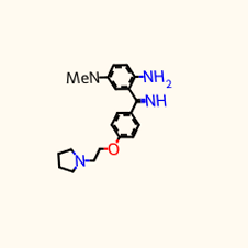 CNc1ccc(N)c(C(=N)c2ccc(OCCN3CCCC3)cc2)c1